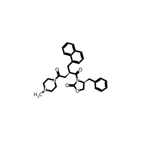 CN1CCN(C(=O)C[C@@H](Cc2cccc3ccccc23)C(=O)N2C(=O)OC[C@@H]2Cc2ccccc2)CC1